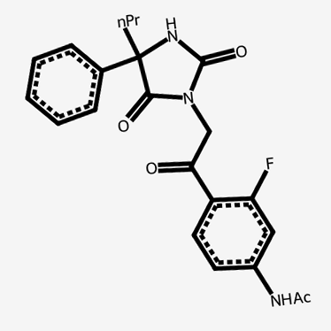 CCCC1(c2ccccc2)NC(=O)N(CC(=O)c2ccc(NC(C)=O)cc2F)C1=O